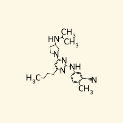 CCCCc1cc(N2CCC(NC(C)C)C2)nc(Nc2ccc(C)c(C#N)c2)n1